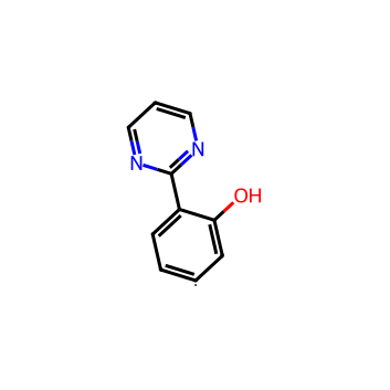 Oc1c[c]ccc1-c1ncccn1